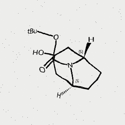 CC(C)(C)OC(=O)N1[C@H]2CC[C@H]1CC(O)C2